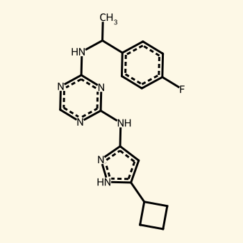 CC(Nc1ncnc(Nc2cc(C3CCC3)[nH]n2)n1)c1ccc(F)cc1